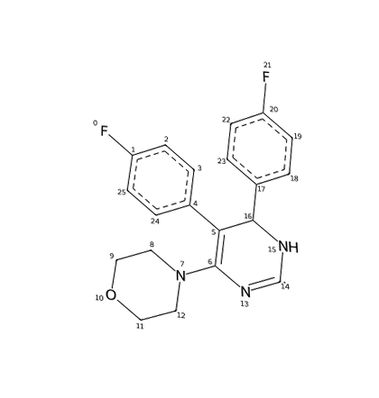 Fc1ccc(C2=C(N3CCOCC3)N=[C]NC2c2ccc(F)cc2)cc1